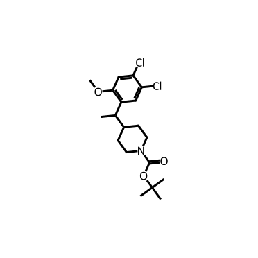 COc1cc(Cl)c(Cl)cc1C(C)C1CCN(C(=O)OC(C)(C)C)CC1